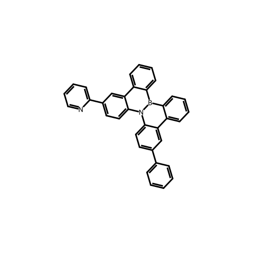 c1ccc(-c2ccc3c(c2)-c2ccccc2B2c4ccccc4-c4cc(-c5ccccn5)ccc4N23)cc1